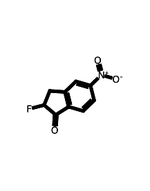 O=C1c2ccc([N+](=O)[O-])cc2CC1F